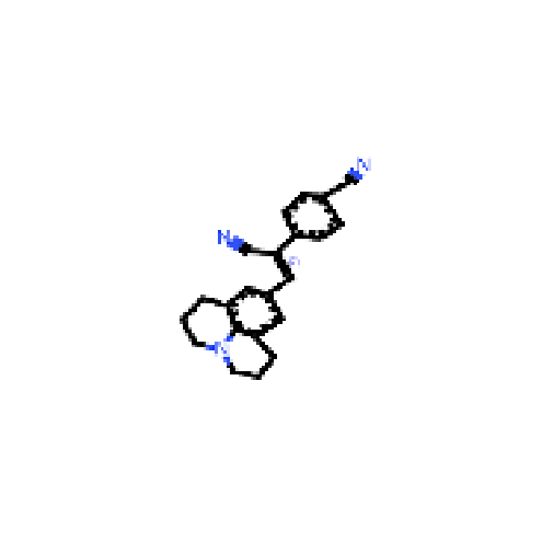 N#C/C(=C\c1cc2c3c(c1)CCCN3CCC2)c1ccc(C#N)cc1